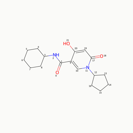 O=C(NC1CCCCC1)c1cn(C2CCCC2)c(=O)cc1O